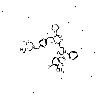 CCN(CC)Cc1ccc(CC(NC(=O)CCN(c2ccccc2)S(=O)(=O)c2ccc(Cl)c(C)c2Cl)C(=O)N2CCCC2)cc1